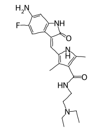 CCN(CC)CCNC(=O)c1c(C)[nH]c(/C=C2\C(=O)Nc3cc(N)c(F)cc32)c1C